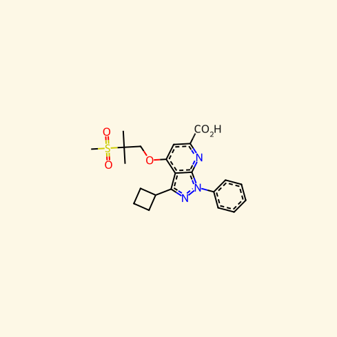 CC(C)(COc1cc(C(=O)O)nc2c1c(C1CCC1)nn2-c1ccccc1)S(C)(=O)=O